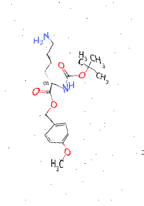 COc1ccc(COC(=O)[C@H](CCCCN)NC(=O)OC(C)(C)C)cc1